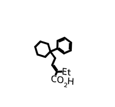 CC/C(=C\CC1(c2ccccc2)CCCCC1)C(=O)O